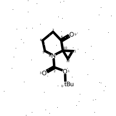 CC(C)(C)OC(=O)N1CCCC(=O)C12CC2